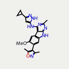 COc1cc2c(cc1-c1c(C)noc1C)[nH]c1nc(C)nc(Nc3cc(C4CC4)n[nH]3)c12